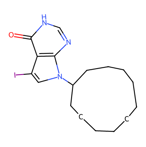 O=c1[nH]cnc2c1c(I)cn2C1CCCCCCCCCC1